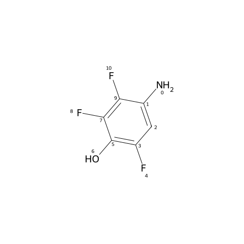 Nc1cc(F)c(O)c(F)c1F